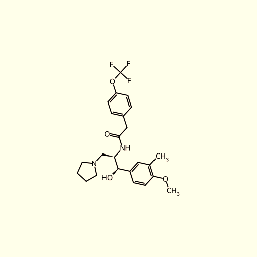 COc1ccc([C@@H](O)[C@@H](CN2CCCC2)NC(=O)Cc2ccc(OC(F)(F)F)cc2)cc1C